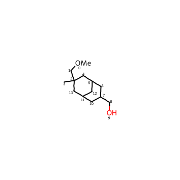 COCC1(C)CC2CC(CO)CC(C2)C1